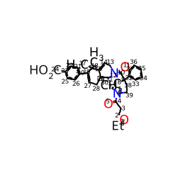 CCOCCC(=O)N1CCC(C(=O)N2CC=C3C(C)(C)C(c4ccc(C(=O)O)cc4)=CC[C@]3(C)C2)(c2ccccc2)CC1